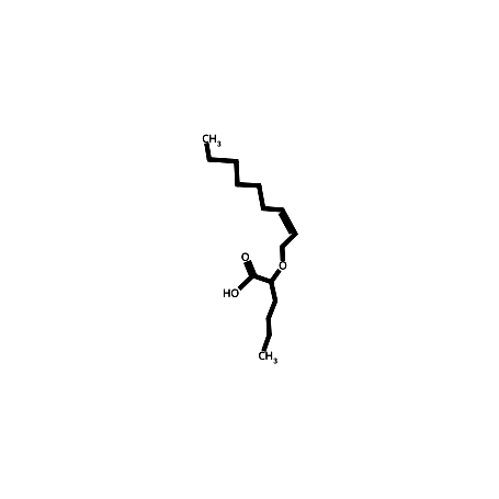 CCCCCC/C=C\COC(CCCC)C(=O)O